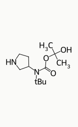 CC(C)(O)OC(=O)N(C1CCNC1)C(C)(C)C